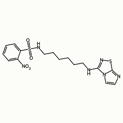 O=[N+]([O-])c1ccccc1S(=O)(=O)NCCCCCCNc1nsc2nccn12